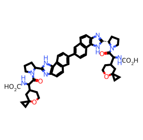 O=C(O)NC(C(=O)N1CCCC1c1nc2ccc3cc(-c4ccc5c(ccc6nc([C@@H]7CCCN7C(=O)C(NC(=O)O)C7CCOC8(CC8)C7)[nH]c65)c4)ccc3c2[nH]1)C1CCOC2(CC2)C1